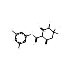 CC1(C)CC(=O)C(C(=O)Nc2cc(Cl)cc(Cl)c2)C(=O)C1F